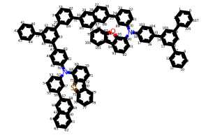 c1ccc(-c2cc(-c3ccccc3)cc(-c3ccc(N(c4cccc(-c5ccc6cc(-c7cccc(-c8cc(-c9ccccc9)cc(-c9ccc(N(c%10cccc(-c%11ccc%12ccccc%12c%11)c%10)c%10cccc%11c%10sc%10ccccc%10%11)cc9)c8)c7)ccc6c5)c4)c4cccc5c4oc4ccccc45)cc3)c2)cc1